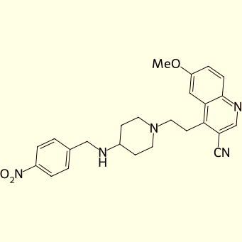 COc1ccc2ncc(C#N)c(CCN3CCC(NCc4ccc([N+](=O)[O-])cc4)CC3)c2c1